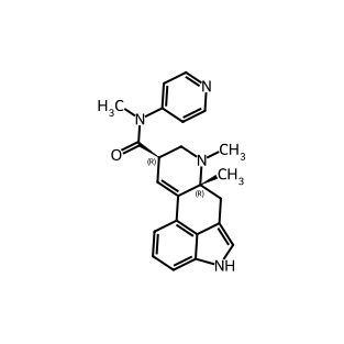 CN(C(=O)[C@@H]1C=C2c3cccc4[nH]cc(c34)C[C@@]2(C)N(C)C1)c1ccncc1